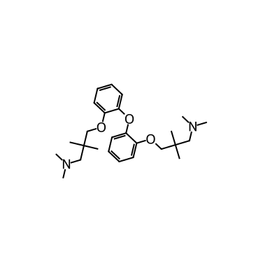 CN(C)CC(C)(C)COc1ccccc1Oc1ccccc1OCC(C)(C)CN(C)C